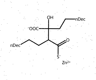 CCCCCCCCCCCCC(C(=O)[S-])C(O)(CCCCCCCCCCCC)C(=O)[O-].[Zn+2]